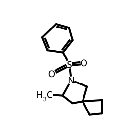 CC1CC2(CCC2)CN1S(=O)(=O)c1ccccc1